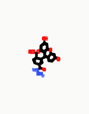 NNC(=O)c1ccc(C(=O)O)c(-c2c3ccc(=O)cc-3oc3cc(O)ccc23)c1